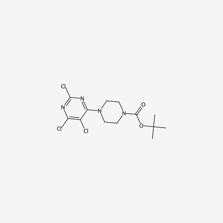 CC(C)(C)OC(=O)N1CCN(c2nc(Cl)nc(Cl)c2Cl)CC1